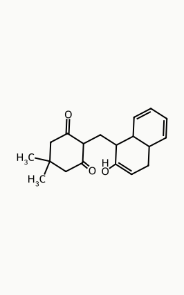 CC1(C)CC(=O)C(CC2C(O)=CCC3C=CC=CC32)C(=O)C1